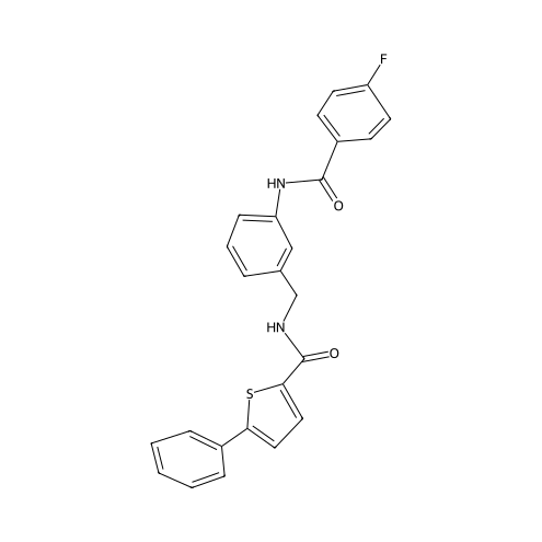 O=C(Nc1cccc(CNC(=O)c2ccc(-c3ccccc3)s2)c1)c1ccc(F)cc1